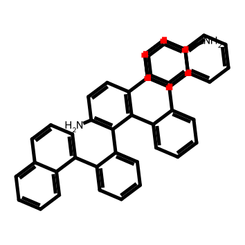 Nc1ccc(-c2ccc(N)c(-c3ccccc3-c3cccc4ccccc34)c2-c2ccccc2-c2cccc3ccccc23)cc1